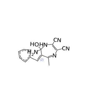 CC1=NC(C#N)=C(C#N)NC(N)(O)/C1=C\c1ccccc1